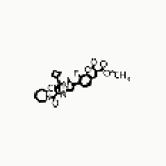 CCOC(=O)c1cc2ccc(-c3cc4nc(C(=O)N5CCCCC[C@H]5C)cc(C5CCC5)n4n3)c(F)c2oc1=O